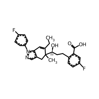 CCC1=Cc2c(cnn2-c2ccc(F)cc2)CC1(C)[C@@H](O)CCc1ccc(F)cc1C(=O)O